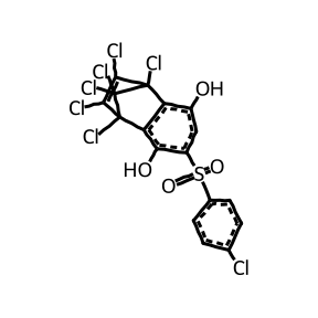 O=S(=O)(c1ccc(Cl)cc1)c1cc(O)c2c(c1O)C1(Cl)C(Cl)=C(Cl)C2(Cl)C1(Cl)Cl